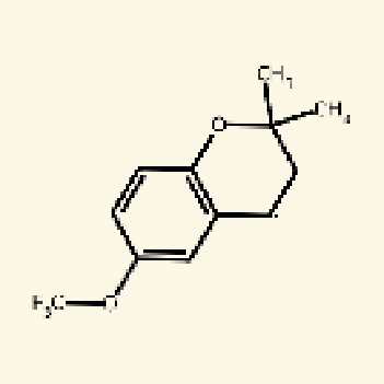 CC1(C)C[CH]c2cc(OC(F)(F)F)ccc2O1